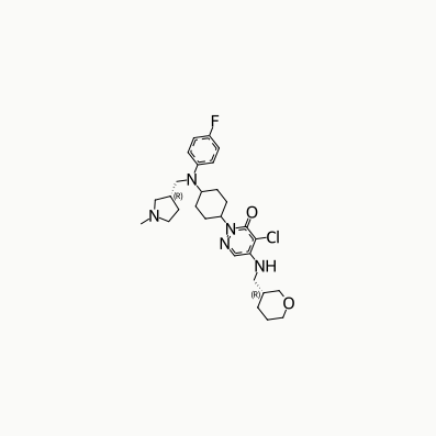 CN1CC[C@@H](CN(c2ccc(F)cc2)C2CCC(n3ncc(NC[C@H]4CCCOC4)c(Cl)c3=O)CC2)C1